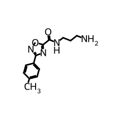 Cc1ccc(-c2noc(C(=O)NCCCN)n2)cc1